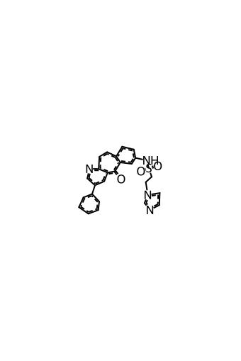 O=c1c2cc(NS(=O)(=O)CCn3ccnc3)ccc2ccc2ncc(-c3ccccc3)cc12